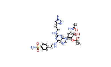 CCC(=O)N[C@H]1C[C@@H](n2cnc3c(NCCc4ccc(S(N)(=O)=O)cc4)nc(NCCc4c[nH]cn4)nc32)[C@H](OC(=O)C(F)(F)F)[C@@H]1O